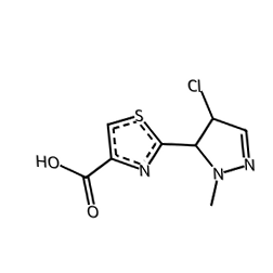 CN1N=CC(Cl)C1c1nc(C(=O)O)cs1